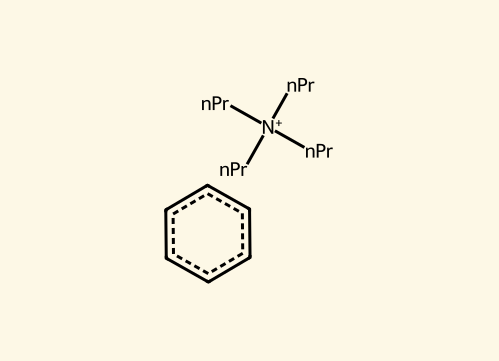 CCC[N+](CCC)(CCC)CCC.c1ccccc1